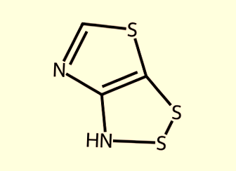 c1nc2c(s1)SSN2